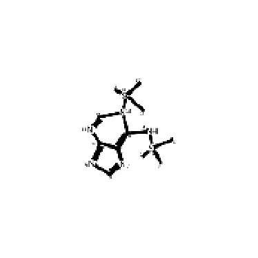 C[Si](C)(C)Nc1c2ncnc-2ncn1[Si](C)(C)C